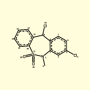 CN1c2cc(Cl)ccc2C(Cl)c2ccccc2S1(=O)=O